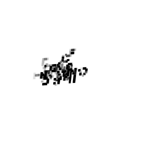 CN1CC(=O)N2[C@@H](Cn3c(=O)[nH]c4cc(F)ccc43)C(=O)N(Cc3ccc(F)cc3)C[C@@H]2N1C(=O)NCc1ccccc1